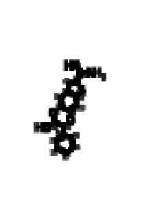 N=C(N)c1cc2ccc(O[C@@H](C(=O)O)c3ccccc3)cc2s1